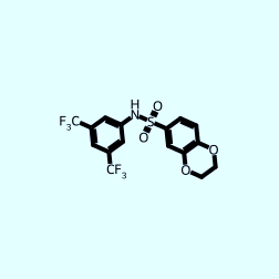 O=S(=O)(Nc1cc(C(F)(F)F)cc(C(F)(F)F)c1)c1ccc2c(c1)OCCO2